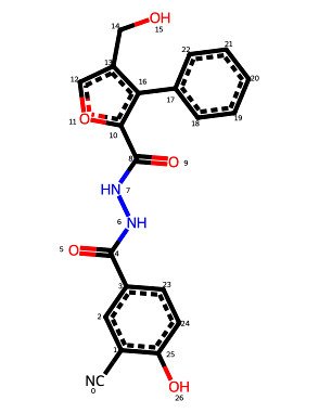 N#Cc1cc(C(=O)NNC(=O)c2occ(CO)c2-c2ccccc2)ccc1O